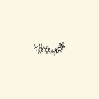 CSCC[C@@H]1N/C(=N/c2ccc(CCNc3nc4ccc(S(C)(=O)=O)cc4s3)cc2)SC1=O